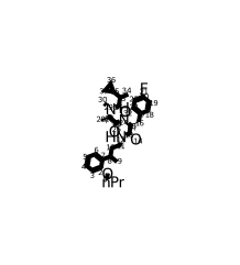 CCCOc1ccccc1C(C)CCNC(=O)[C@@H](Cc1ccc(F)cc1)NC(=O)[C@@H](C)N(C)C(=O)C(C)C1CC1